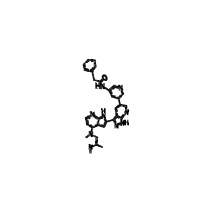 C=N/C(C)=C\N(C)c1ccnc2[nH]c(-c3n[nH]c4ncc(-c5cncc(NC(=O)Cc6ccccc6)c5)cc34)cc12